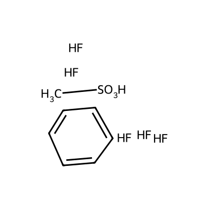 CS(=O)(=O)O.F.F.F.F.F.c1ccccc1